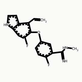 C=Cc1c(Oc2ccc(F)c(C(=N)NC)c2)c(F)cc2[nH]ccc12